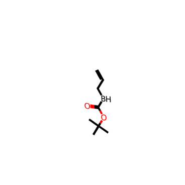 C=CCBC(=O)OC(C)(C)C